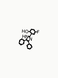 Oc1ccc(F)cc1-c1nc(-c2ccccc2)c(-c2ccccc2)[nH]1